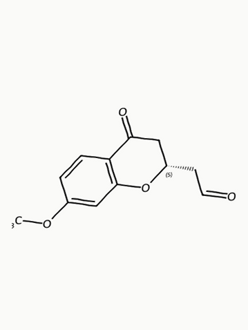 COc1ccc2c(c1)O[C@@H](CC=O)CC2=O